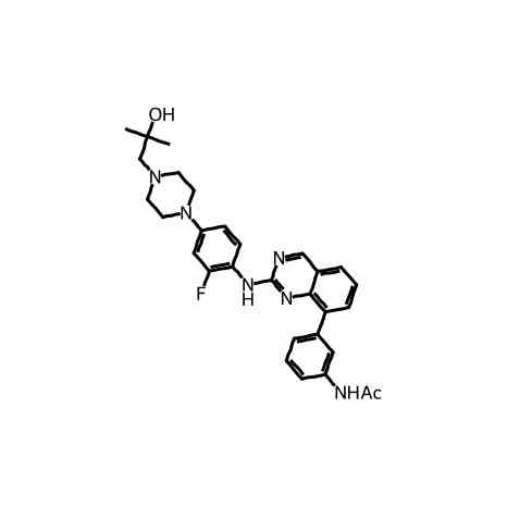 CC(=O)Nc1cccc(-c2cccc3cnc(Nc4ccc(N5CCN(CC(C)(C)O)CC5)cc4F)nc23)c1